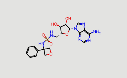 Nc1ncnc2c1ncn2[C@@H]1O[C@H](CNS(=O)(=O)NC2(c3ccccc3)COC2)[C@@H](O)[C@H]1O